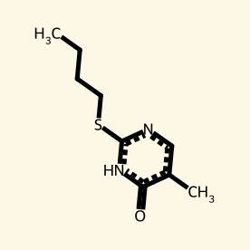 CCCCSc1ncc(C)c(=O)[nH]1